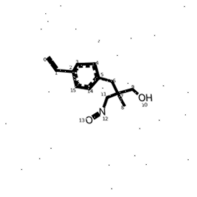 C=Cc1ccc(CC(C)(CO)CN=O)cc1